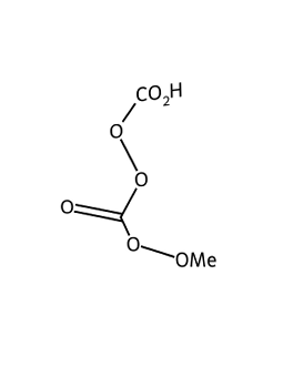 COOC(=O)OOC(=O)O